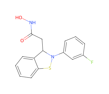 O=C(CC1c2ccccc2SN1c1cccc(F)c1)NO